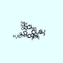 [2H]C([2H])([2H])n1c(=O)n([C@@H]2CC[C@@H](NC(=O)OC)C2)c2cc(Nc3cc(-c4cnccc4C(F)(F)F)c4c(n3)n(-c3cnn(C(F)F)c3)c(=O)n4C)ncc21